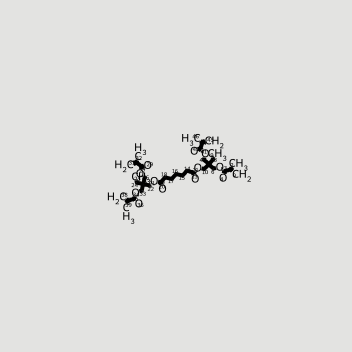 C=C(C)C(=O)OCC(CC)(COC(=O)CCCCCC(=O)OCC(CC)(COC(=O)C(=C)C)COC(=O)C(=C)C)COC(=O)C(=C)C